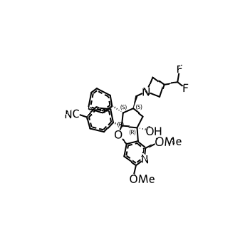 COc1cc2c(c(OC)n1)[C@]1(O)C[C@H](CN3CC(C(F)F)C3)[C@@H](c3ccccc3)[C@]1(c1ccc(C#N)cc1)O2